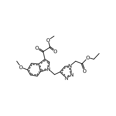 CCOC(=O)Cn1cc(Cn2cc(C(=O)C(=O)OC)c3cc(OC)ccc32)nn1